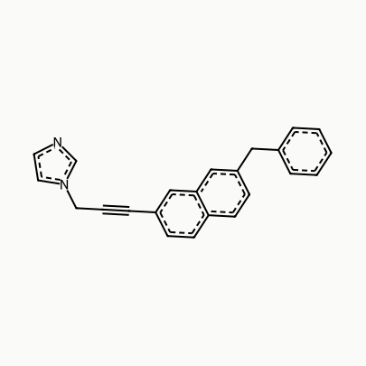 C(#Cc1ccc2ccc(Cc3ccccc3)cc2c1)Cn1ccnc1